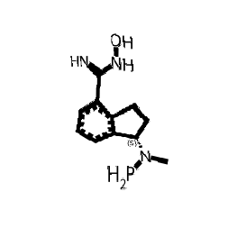 CN(P)[C@H]1CCc2c(C(=N)NO)cccc21